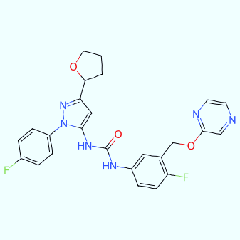 O=C(Nc1ccc(F)c(COc2cnccn2)c1)Nc1cc(C2CCCO2)nn1-c1ccc(F)cc1